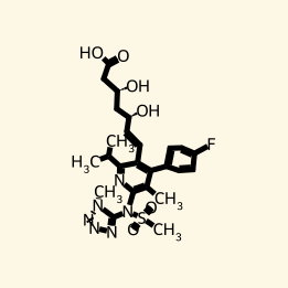 Cc1c(N(c2nnnn2C)S(C)(=O)=O)nc(C(C)C)c(/C=C/[C@@H](O)C[C@@H](O)CC(=O)O)c1-c1ccc(F)cc1